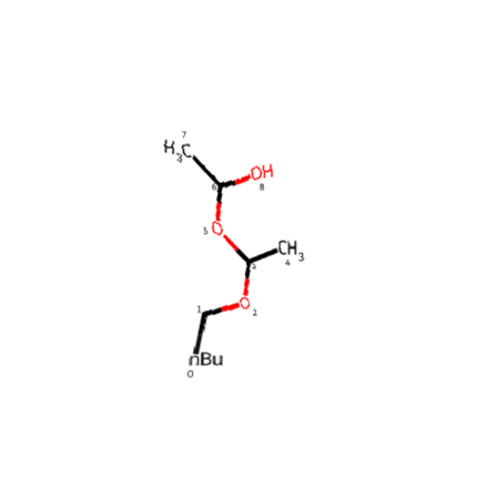 CCCCCOC(C)OC(C)O